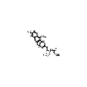 CC(C)(C)OC(=O)ON(CCC1=CC2Cc3nc4cc(Cl)ccc4c(N)c3C(C1)C2)C(=O)O